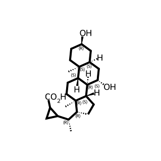 C[C@H](C1CC1C(=O)O)[C@H]1CC[C@H]2[C@@H]3[C@@H](O)C[C@@H]4C[C@H](O)CC[C@]4(C)[C@H]3CC[C@]12C